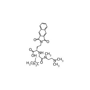 CC(C)C[C@H](N[C@H](CCN1C(=O)c2cc3ccccc3cc2C1=O)C(=O)O)C(=O)N(C)CCN(C)C